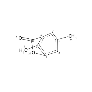 Cc1cc2c(C)c(c1)C(=O)O2